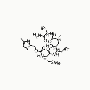 CSC[C@H](NC(=O)OCc1nc(C)cs1)C(=O)N[C@H](CC(C)C)[C@@H](O)C[C@@H](C)C(=O)N[C@@H](C(N)=O)C(C)C